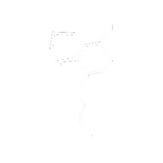 OCCOc1ccc(Cl)c2cccnc12